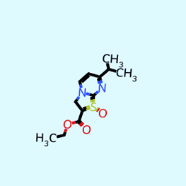 CCOC(=O)C1=S(=O)=C2N=C(C(C)C)C=CN2C1